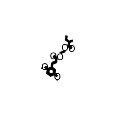 CCC(C)C(=O)OCCOC(=O)/C=C/c1cc(OC)ccc1OC